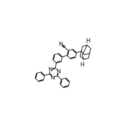 N#Cc1cc(C23CC4C[C@H](C2)C[C@@H](C4)C3)ccc1-c1cccc(-c2nc(-c3ccccc3)nc(-c3ccccc3)n2)c1